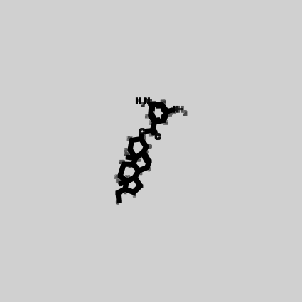 CCC1CCC2C3CC=C4CC(OC(=O)c5cc(N)cc(N)c5)CCC4(C)C3CCC12C